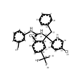 O=C(Nc1cccc(F)c1)NC(Cc1ccccc1)(c1ccc(Cl)cn1)c1cc(C(F)(F)F)ccc1Cl